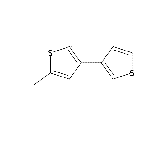 Cc1cc(-c2ccsc2)[c]s1